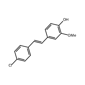 COc1cc(C=Cc2ccc(Cl)cc2)ccc1O